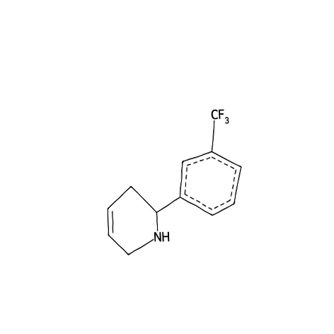 FC(F)(F)c1cccc(C2CC=CCN2)c1